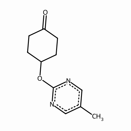 Cc1cnc(OC2CCC(=O)CC2)nc1